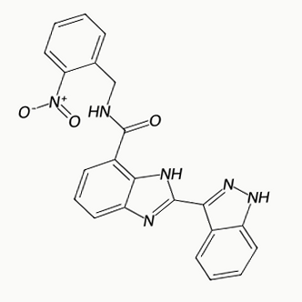 O=C(NCc1ccccc1[N+](=O)[O-])c1cccc2nc(-c3n[nH]c4ccccc34)[nH]c12